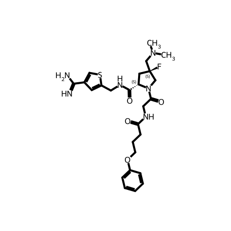 CN(C)C[C@@]1(F)C[C@@H](C(=O)NCc2cc(C(=N)N)cs2)N(C(=O)CNC(=O)CCCOc2ccccc2)C1